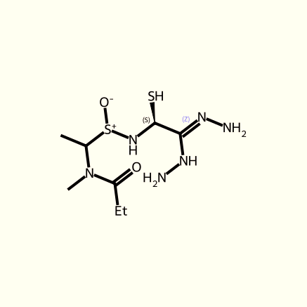 CCC(=O)N(C)C(C)[S+]([O-])N[C@@H](S)/C(=N/N)NN